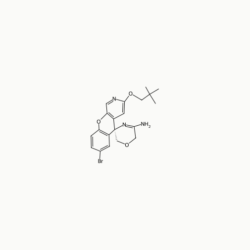 CC(C)(C)COc1cc2c(cn1)Oc1ccc(Br)cc1[C@@]21COCC(N)=N1